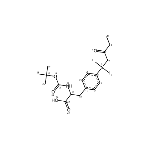 CCC(=O)CS(I)(I)c1ccc(CC(NC(=O)OC(C)(C)C)C(=O)O)cc1